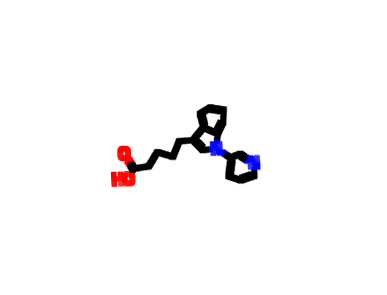 O=C(O)CCCCc1cn(-c2cccnc2)c2ccccc12